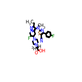 [2H]C([2H])(C(=O)O)N1CCN(C2Cc3c(N(C)c4nc(-c5ccc(F)cc5)c(C#N)s4)c(CC)nn3CC2F)CC1